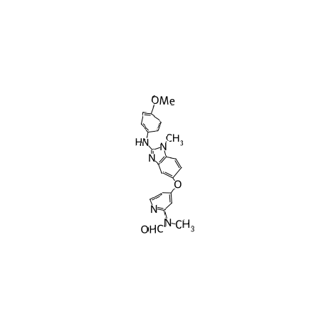 COc1ccc(Nc2nc3cc(Oc4ccnc(N(C)C=O)c4)ccc3n2C)cc1